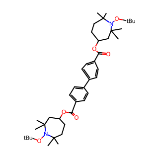 CC(C)(C)ON1C(C)(C)CCC(OC(=O)c2ccc(-c3ccc(C(=O)OC4CCC(C)(C)N(OC(C)(C)C)C(C)(C)C4)cc3)cc2)CC1(C)C